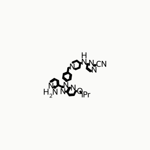 CC(C)Oc1ccc2nc(-c3cccnc3N)n(-c3ccc(CN4CCC(Nc5ccnc(C#N)n5)CC4)cc3)c2n1